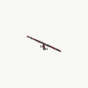 CCCCCCCCCCCCCCCCCCCCCCC(CCCCCCCCCCCCCCCCCCCCCC)CCNCCO